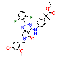 CCOC(=O)C(C)(C)c1ccc(Nc2nc(-c3c(F)cccc3F)nc3c2C(=O)N(Cc2ccc(OC)cc2OC)C3)cc1